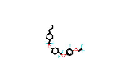 CCCC1CCC(C(F)(F)OC2CCC(C(F)(F)Oc3ccc(OC=C(F)F)c(F)c3)CC2)CC1